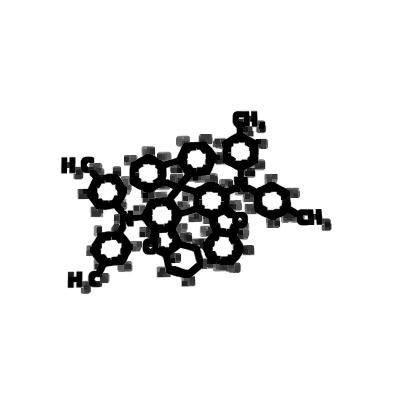 Cc1ccc(N(c2ccc(C)cc2)c2cc3c(c4c5c(oc24)C=CCC5)-c2c(cc(N(c4ccc(C)cc4)c4ccc(C)cc4)c4oc5ccccc5c24)C32c3ccccc3-c3ccccc32)cc1